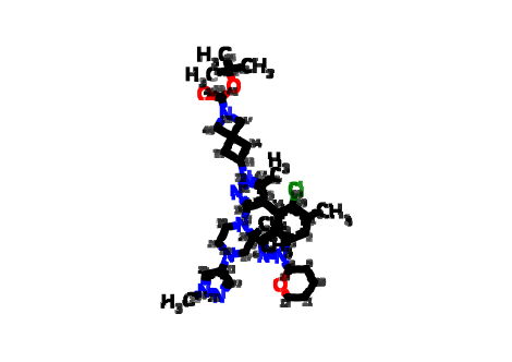 Cc1cc2c(cnn2C2CCCCO2)c(-c2c(N3CCN(c4cnn(C)c4)CC3(C)C)nn(C3CC4(C3)CN(C(=O)OC(C)(C)C)C4)c2C)c1Cl